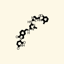 Cc1nc(NCc2ccc3c(c2)CN(C2CCC(=O)NC2=O)C3=O)cc(Nc2ncc(C(=O)Nc3c(C)cccc3Cl)s2)n1